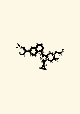 CC/C(=C\NC)c1cc2cccc(-c3nc(C4CC4)n4c3CN(CCF)C(=O)C4)c2cn1